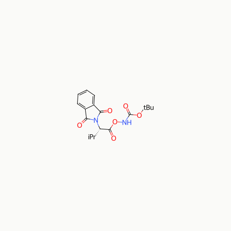 CC(C)[C@@H](C(=O)ONC(=O)OC(C)(C)C)N1C(=O)c2ccccc2C1=O